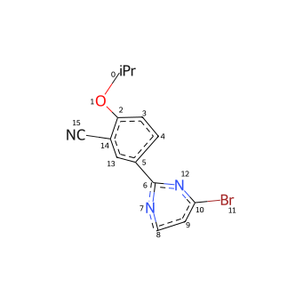 CC(C)Oc1ccc(-c2nccc(Br)n2)cc1C#N